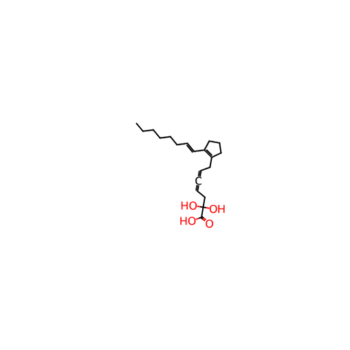 CCCCCC/C=C/C1=C(CC=C=CCC(O)(O)C(=O)O)CCC1